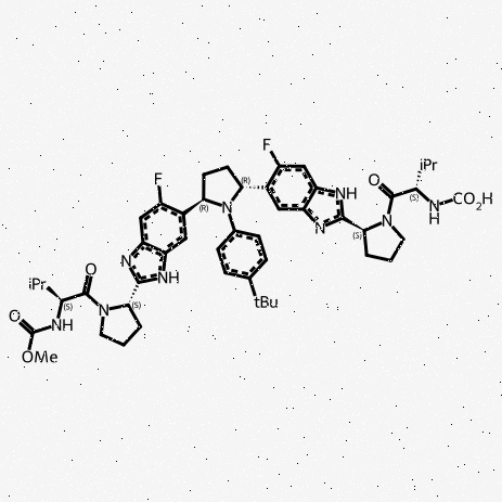 COC(=O)N[C@H](C(=O)N1CCC[C@H]1c1nc2cc(F)c([C@H]3CC[C@H](c4cc5nc([C@@H]6CCCN6C(=O)[C@@H](NC(=O)O)C(C)C)[nH]c5cc4F)N3c3ccc(C(C)(C)C)cc3)cc2[nH]1)C(C)C